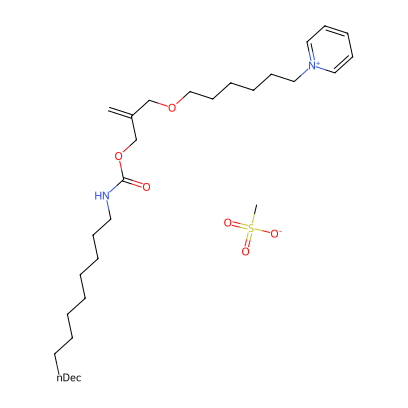 C=C(COCCCCCC[n+]1ccccc1)COC(=O)NCCCCCCCCCCCCCCCCCC.CS(=O)(=O)[O-]